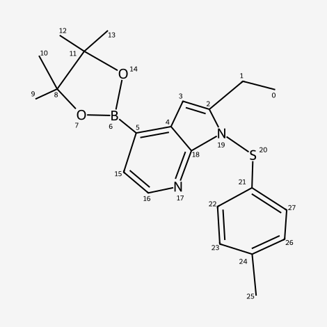 CCc1cc2c(B3OC(C)(C)C(C)(C)O3)ccnc2n1Sc1ccc(C)cc1